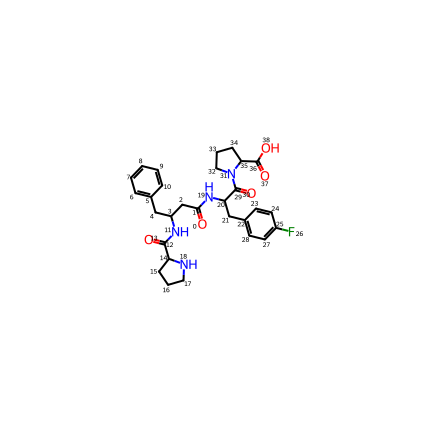 O=C(CC(Cc1ccccc1)NC(=O)C1CCCN1)NC(Cc1ccc(F)cc1)C(=O)N1CCCC1C(=O)O